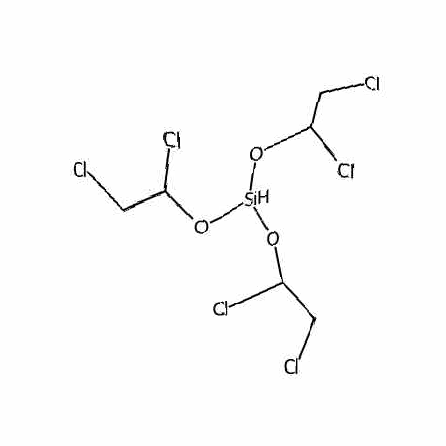 ClCC(Cl)O[SiH](OC(Cl)CCl)OC(Cl)CCl